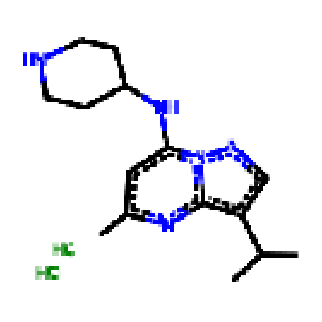 Cc1cc(NC2CCNCC2)n2ncc(C(C)C)c2n1.Cl.Cl